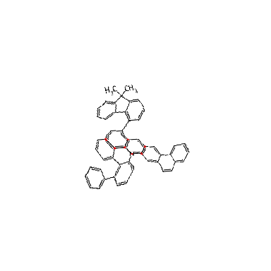 CC1(C)c2ccccc2-c2c(-c3cccc(N(c4ccc5c(ccc6ccccc65)c4)c4cccc(-c5ccccc5)c4-c4ccccc4-c4ccccc4)c3)cccc21